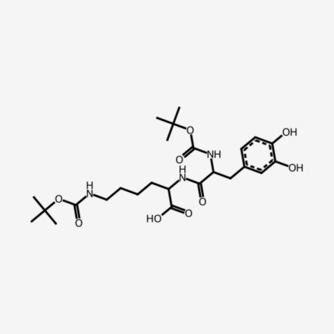 CC(C)(C)OC(=O)NCCCCC(NC(=O)C(Cc1ccc(O)c(O)c1)NC(=O)OC(C)(C)C)C(=O)O